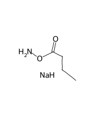 CCCC(=O)ON.[NaH]